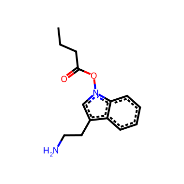 CCCC(=O)On1cc(CCN)c2ccccc21